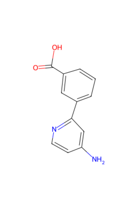 Nc1ccnc(-c2cccc(C(=O)O)c2)c1